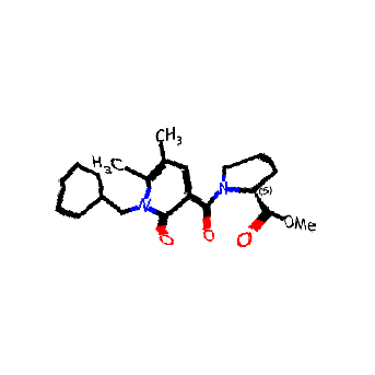 COC(=O)[C@@H]1CCCN1C(=O)c1cc(C)c(C)n(CC2CCCCC2)c1=O